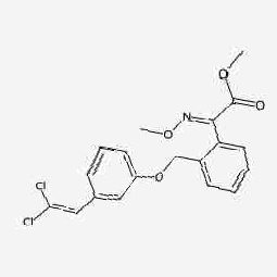 CO/N=C(/C(=O)OC)c1ccccc1COc1cccc(C=C(Cl)Cl)c1